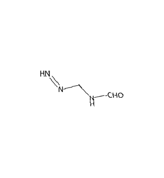 N=NCNC=O